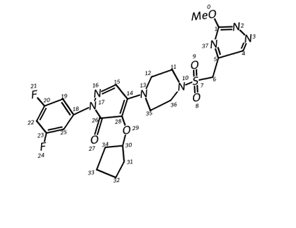 COc1nncc(CS(=O)(=O)N2CCN(c3cnn(-c4cc(F)cc(F)c4)c(=O)c3OC3CCCC3)CC2)n1